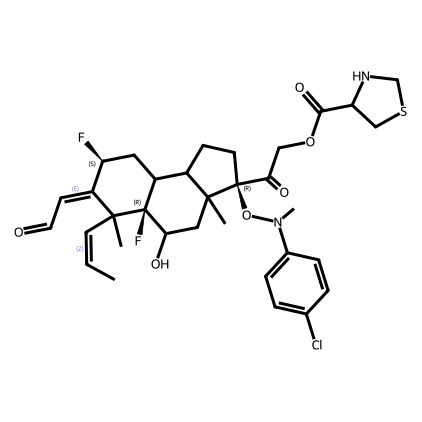 C/C=C\C1(C)/C(=C\C=O)[C@@H](F)CC2C3CC[C@](ON(C)c4ccc(Cl)cc4)(C(=O)COC(=O)C4CSCN4)C3(C)CC(O)[C@@]21F